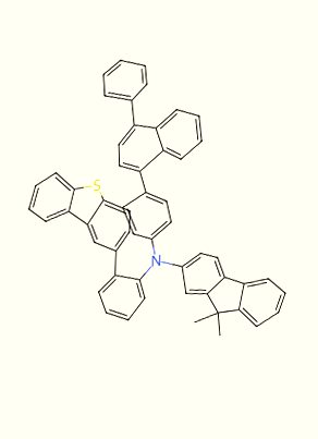 CC1(C)c2ccccc2-c2ccc(N(c3ccc(-c4ccc(-c5ccccc5)c5ccccc45)cc3)c3ccccc3-c3ccc4sc5ccccc5c4c3)cc21